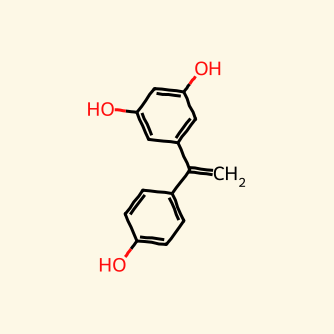 C=C(c1ccc(O)cc1)c1cc(O)cc(O)c1